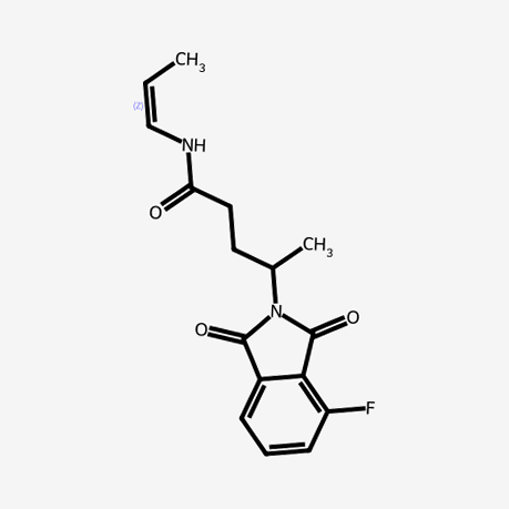 C/C=C\NC(=O)CCC(C)N1C(=O)c2cccc(F)c2C1=O